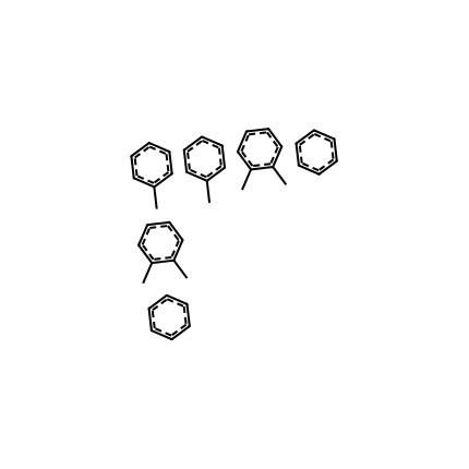 Cc1ccccc1.Cc1ccccc1.Cc1ccccc1C.Cc1ccccc1C.c1ccccc1.c1ccccc1